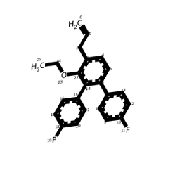 C=CCc1c[c]c(-c2ccc(F)cc2)c(-c2ccc(F)cc2)c1OCC